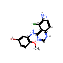 COc1ccc(Br)cc1Nc1ncnc2ccc(N)c(Cl)c12